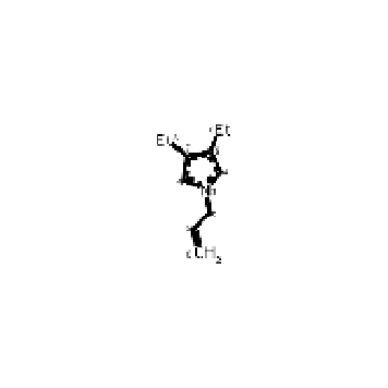 C=CCn1cc(CC)c(CC)c1